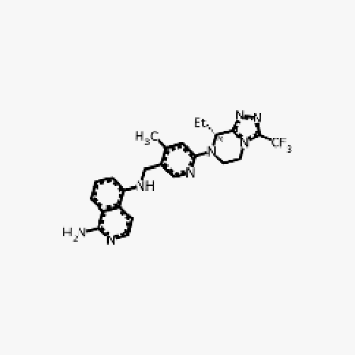 CC[C@@H]1c2nnc(C(F)(F)F)n2CCN1c1cc(C)c(CNc2cccc3c(N)nccc23)cn1